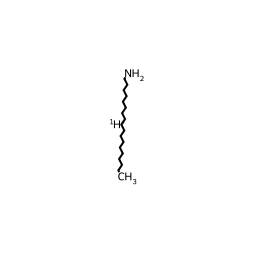 CCCCCCCCCCCCCCCCCCN.[1H+]